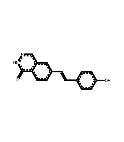 O=c1[nH]ncc2cc(C=Cc3ccc(O)cc3)ccc12